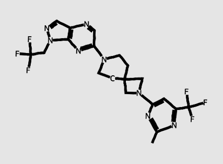 Cc1nc(N2CC3(CCN(c4cnc5cnn(CC(F)(F)F)c5n4)CC3)C2)cc(C(F)(F)F)n1